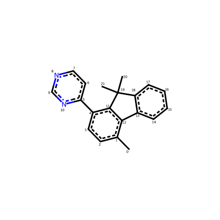 Cc1ccc(-c2ccncn2)c2c1-c1ccccc1C2(C)C